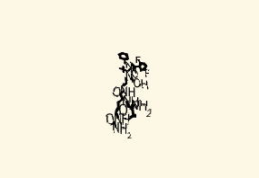 CC(C)C(N)C(=O)NC(CCCNC(N)=O)C(=O)NCCCN(C(=O)CO)C(c1nc(-c2cc(F)ccc2F)cn1Cc1ccccc1)C(C)(C)C